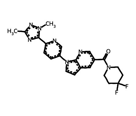 Cc1nc(-c2ccc(-n3ccc4cc(C(=O)N5CCC(F)(F)CC5)cnc43)cn2)n(C)n1